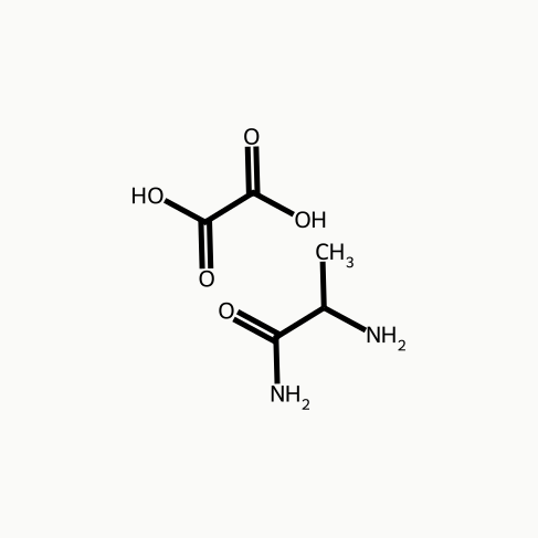 CC(N)C(N)=O.O=C(O)C(=O)O